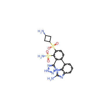 Nc1nc2cccc(-c3ccc(S(=O)(=O)[C@H]4C[C@@H](N)C4)c(S(N)(=O)=O)c3-c3nn[nH]n3)c2[nH]1